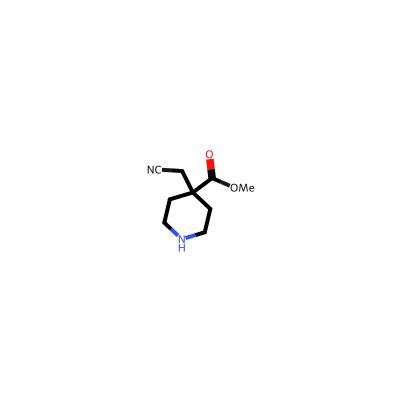 COC(=O)C1(CC#N)CCNCC1